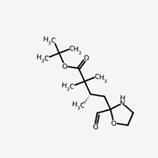 C[C@@H](CC1(C=O)NCCO1)C(C)(C)C(=O)OC(C)(C)C